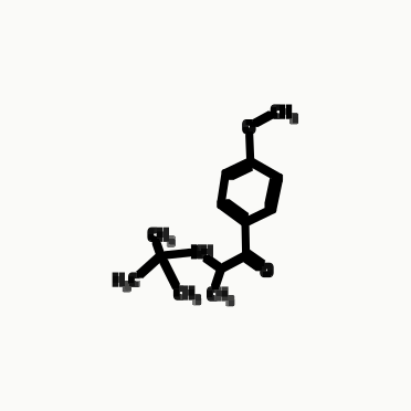 COc1ccc(C(=O)C(C)NC(C)(C)C)cc1